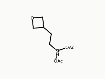 CC(=O)O[SiH](CCC1COC1)OC(C)=O